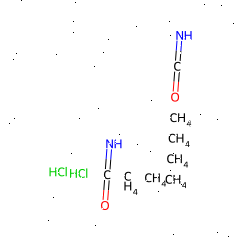 C.C.C.C.C.C.Cl.Cl.N=C=O.N=C=O